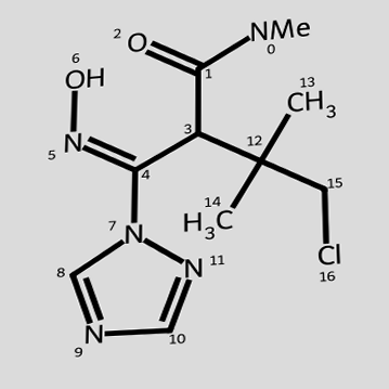 CNC(=O)C(C(=NO)n1cncn1)C(C)(C)CCl